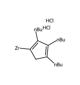 CCCCC1=C(CCCC)C(CCCC)=[C]([Zr])C1.Cl.Cl